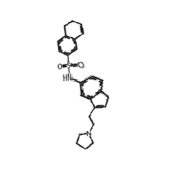 O=S(=O)(Nc1ccc2c(c1)C(CCN1CCCC1)=CC2)c1ccc2c(c1)C=CCC2